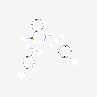 Cc1ccc(S(=O)(=O)OC(=N)c2ccccc2C(=N)OS(=O)(=O)c2ccc(C)cc2)cc1